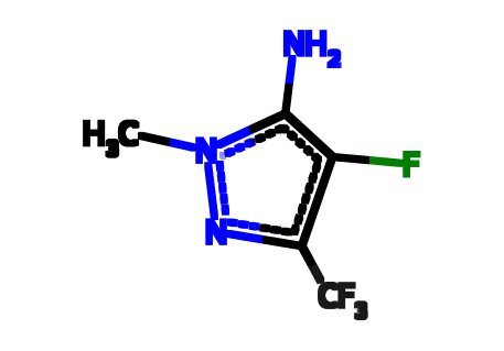 Cn1nc(C(F)(F)F)c(F)c1N